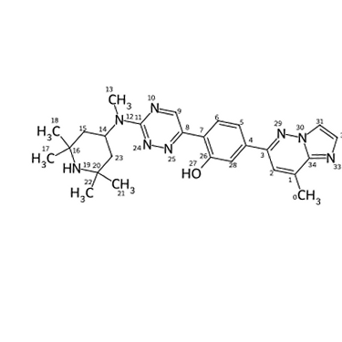 Cc1cc(-c2ccc(-c3cnc(N(C)C4CC(C)(C)NC(C)(C)C4)nn3)c(O)c2)nn2ccnc12